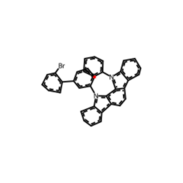 Brc1ccccc1-c1cccc(-n2c3ccccc3c3ccc4c5ccccc5n(-c5ccccc5)c4c32)c1